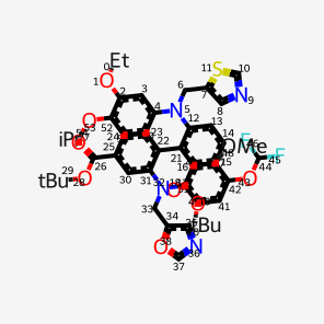 CCOc1cc(N(Cc2cncs2)c2cccc(C(=O)OC(C)(C)C)c2-c2ccc(C(=O)OC(C)(C)C)cc2N(Cc2cnco2)c2ccc(OC(F)F)c(OC)c2)ccc1OC(C)C